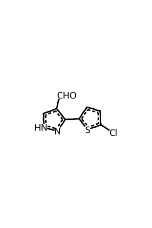 O=Cc1c[nH]nc1-c1ccc(Cl)s1